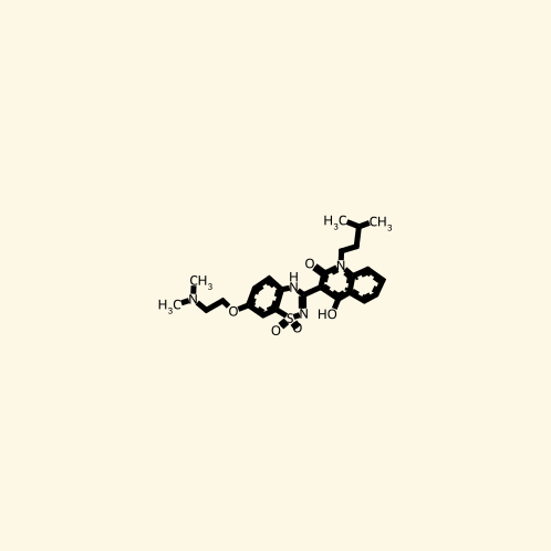 CC(C)CCn1c(=O)c(C2=NS(=O)(=O)c3cc(OCCN(C)C)ccc3N2)c(O)c2ccccc21